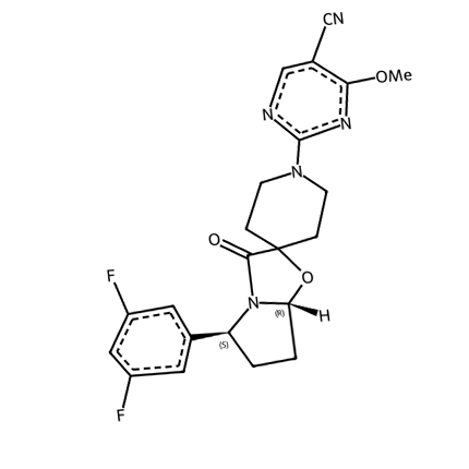 COc1nc(N2CCC3(CC2)O[C@@H]2CC[C@@H](c4cc(F)cc(F)c4)N2C3=O)ncc1C#N